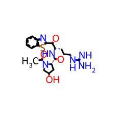 CC(=O)N1CC(O)C[C@H]1C(=O)N[C@@H](CCCNC(=N)N)C(=O)c1nc2ccccc2s1